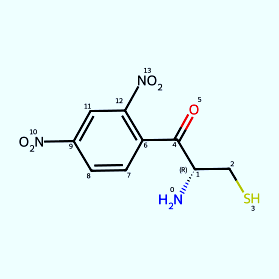 N[C@@H](CS)C(=O)c1ccc([N+](=O)[O-])cc1[N+](=O)[O-]